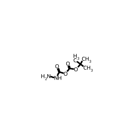 CC(C)(C)OC(=O)OC(=O)NN